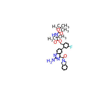 CC(C)(C)OC(=O)NC(C)(C)C(=O)OCc1ccc(F)cc1-c1ccc2nc(N)nc(C(=O)N3Cc4ccccc4C3)c2c1